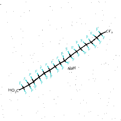 O=C(O)C(F)(F)C(F)(F)C(F)(F)C(F)(F)C(F)(F)C(F)(F)C(F)(F)C(F)(F)C(F)(F)C(F)(F)C(F)(F)C(F)(F)C(F)(F)C(F)(F)C(F)(F)C(F)(F)C(F)(F)F.[NaH]